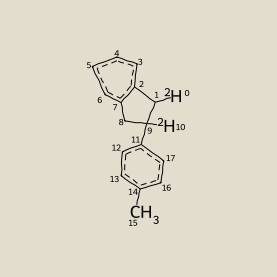 [2H]C1c2ccccc2CC1([2H])c1ccc(C)cc1